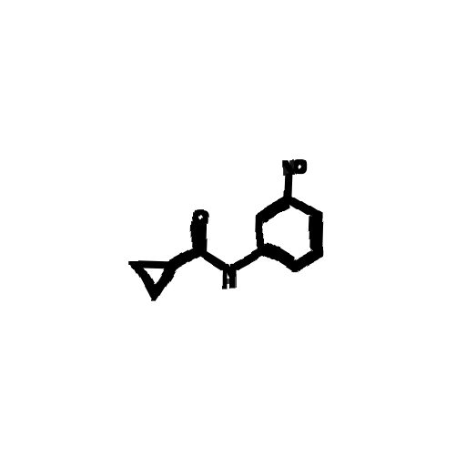 O=Nc1cccc(NC(=O)C2CC2)c1